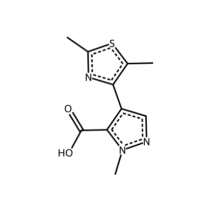 Cc1nc(-c2cnn(C)c2C(=O)O)c(C)s1